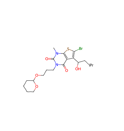 CC(C)CC(O)c1c(Br)sc2c1c(=O)n(CCCOC1CCCCO1)c(=O)n2C